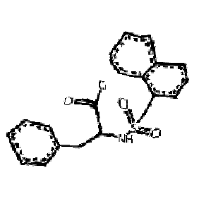 O=C(Cl)C(Cc1ccccc1)NS(=O)(=O)c1cccc2ccccc12